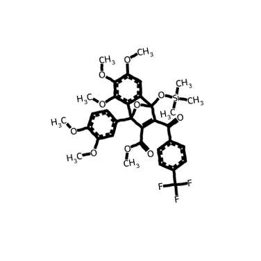 COC(=O)C1=C(C(=O)c2ccc(C(F)(F)F)cc2)C2(O[Si](C)(C)C)OC1(c1ccc(OC)c(OC)c1)c1c2cc(OC)c(OC)c1OC